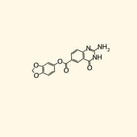 Nc1nc2ccc(C(=O)Oc3ccc4c(c3)OCO4)cc2c(=O)[nH]1